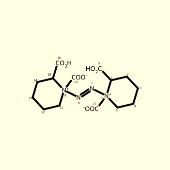 O=C(O)C1CCCC[N+]1(N=N[N+]1(C(=O)[O-])CCCCC1C(=O)O)C(=O)[O-]